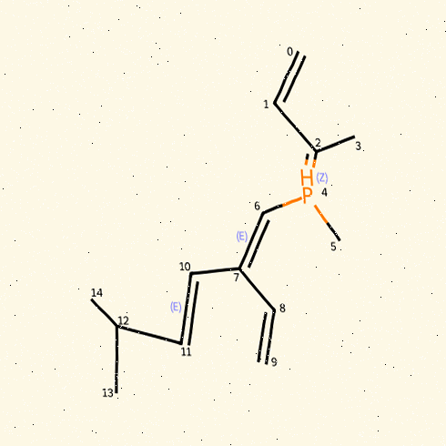 C=C\C(C)=[PH](C)/C=C(C=C)/C=C/C(C)C